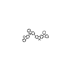 CC1(C)c2ccc(-c3ccc4c5ccccc5n(-c5ccc6c(c5)oc5ccccc56)c4c3)cc2-c2cc3c(cc21)-c1ccccc1C31CCCCC1